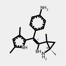 B/C(=C(/c1ccc(N)cc1)c1[nH]c(C)cc1C)C1(C)C[C@@]1(C)N